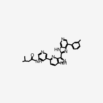 Cc1cccc(-c2cncc3[nH]c(-c4n[nH]c5ccc(-c6cncc(NC(=O)CC(C)C)c6)nc45)nc23)c1